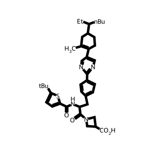 CCCCC(CC)C1CCC(c2cnc(-c3ccc(CC(NC(=O)c4ccc(C(C)(C)C)s4)C(=O)N4CC(C(=O)O)C4)cc3)nc2)=C(C)C1